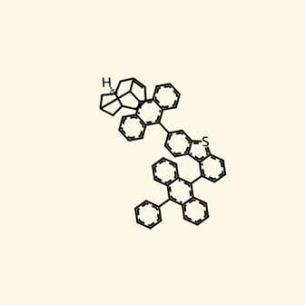 C1=C2C[C@@H]3CC(CC3CC1)C2c1c2ccccc2c(-c2ccc3c(c2)sc2cccc(-c4c5ccccc5c(-c5ccccc5)c5ccccc45)c23)c2ccccc12